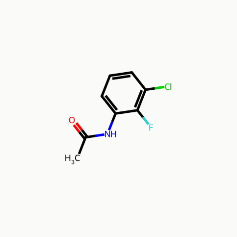 CC(=O)Nc1cccc(Cl)c1F